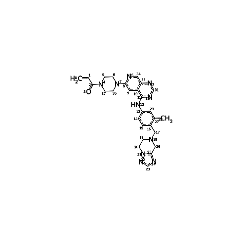 C=CC(=O)N1CCN(c2cc3c(Nc4ccc(CN5CCn6ncnc6C5)c(C)c4)ncnc3cn2)CC1